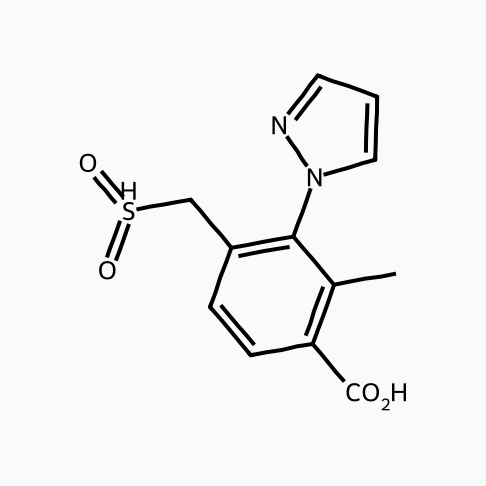 Cc1c(C(=O)O)ccc(C[SH](=O)=O)c1-n1cccn1